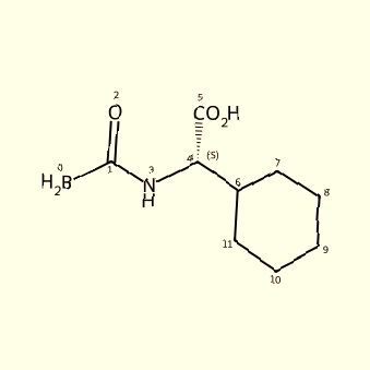 BC(=O)N[C@H](C(=O)O)C1CCCCC1